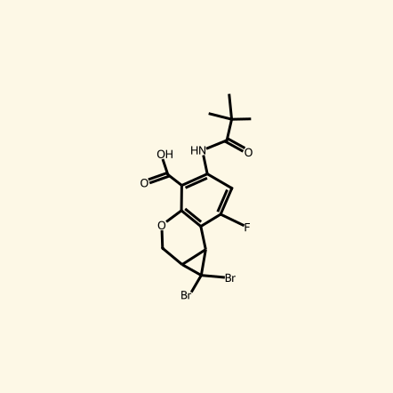 CC(C)(C)C(=O)Nc1cc(F)c2c(c1C(=O)O)OCC1C2C1(Br)Br